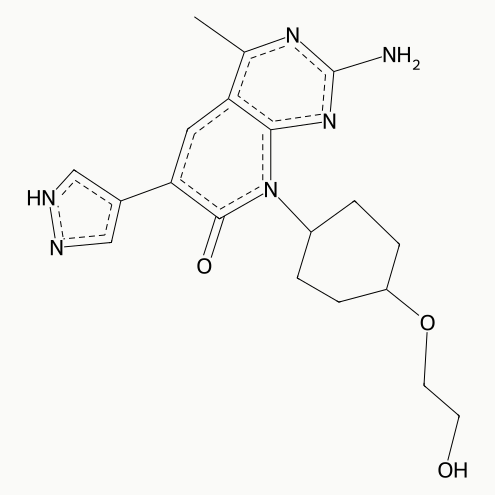 Cc1nc(N)nc2c1cc(-c1cn[nH]c1)c(=O)n2C1CCC(OCCO)CC1